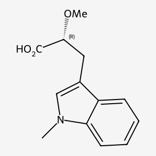 CO[C@H](Cc1cn(C)c2ccccc12)C(=O)O